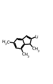 [Li][C]1=Cc2cc(C)cc(C)c2C1C